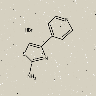 Br.Nc1nc(-c2ccncc2)cs1